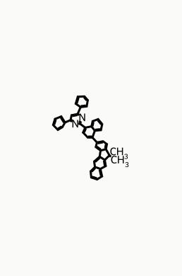 CC1(C)c2ccc(-c3ccc(-c4nc(-c5ccccc5)cc(-c5ccccc5)n4)c4ccccc34)cc2-c2cc3ccccc3cc21